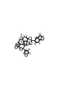 C[C@@H]1C=C(OC(=O)c2ccc3occc3c2)C(=O)[C@H]2[C@@]1(C)CC[C@H]1C(=O)O[C@H](c3ccoc3)C[C@]21C